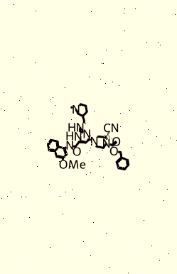 COc1cc(NC(=O)c2cc(N3CCN(C(=O)OCc4ccccc4)[C@@H](CC#N)C3)nc(NCC3CCCN(C)C3)n2)c2ccccc2c1